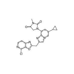 CN1C(=O)CN(c2cc(C3CC3)cn3cc(Cc4nc5ccnc(Cl)c5o4)nc23)C1=O